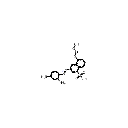 Nc1ccc(/N=N/c2cc(S(=O)(=O)O)c3cccc(SOOO)c3c2)c(N)c1